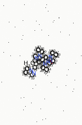 CC1(C)c2cc(N(c3ccccn3)c3cccc4ccccc34)ccc2-c2cc3c(N(c4ccccn4)c4cccc5ccccc45)c4cc(N(c5ccccn5)c5cccc6ccccc56)ccc4c(N(c4ccccn4)c4cccc5ccccc45)c3cc21